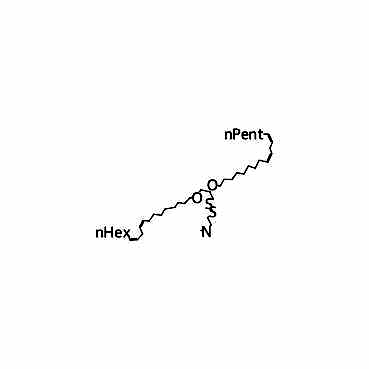 CCCCC/C=C\C/C=C\CCCCCCCCOC(COCCCCCCCC/C=C\C/C=C\CCCCCC)CSSCCN(C)C